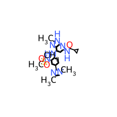 Cc1cn(C)c(-c2ccc(Nc3cc(NC(=O)C4CC4)nc4[nH]c(C)nc34)c(N(C)S(C)(=O)=O)c2)n1